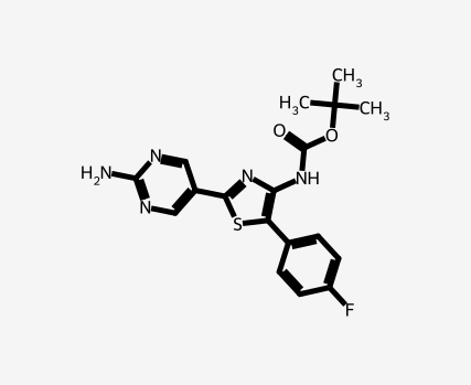 CC(C)(C)OC(=O)Nc1nc(-c2cnc(N)nc2)sc1-c1ccc(F)cc1